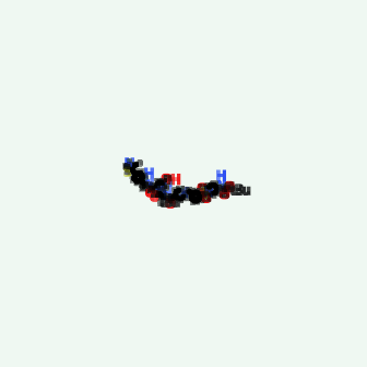 Cc1ncsc1-c1ccc([C@H](C)NC(=O)[C@@H]2C[C@@H](O)CN2C(=O)[C@H](NC(=O)C2CCN(Cc3cccc(S(=O)(=O)N4CCC(NC(=O)OC(C)(C)C)CC4)c3)CC2)C(C)(C)C)cc1